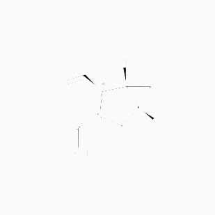 O=C[C@H]1[C@@H]2C[C@@H]2CN1C(=O)O